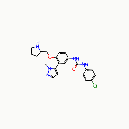 Cn1nccc1-c1cc(NC(=O)Nc2ccc(Cl)cc2)ccc1OCC1CCCN1